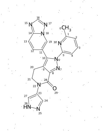 Cc1cccc(-n2nc3c(c2-c2ccc4ncnn4c2)CCN(c2cn[nH]c2)C3=O)n1